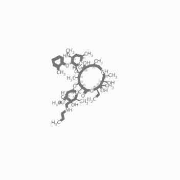 CCCNC[C@]1(O)[C@H](C)O[C@@H](O[C@H]2[C@H](C)[C@@H](O[C@@H]3O[C@H](C)C[C@H](NC)[C@H]3Oc3ccccc3C)[C@](C)(O)C[C@@H](C)CN[C@H](C)[C@@H](O)[C@](C)(O)[C@@H](CC)OC(=O)[C@@H]2C)C[C@@]1(C)OC